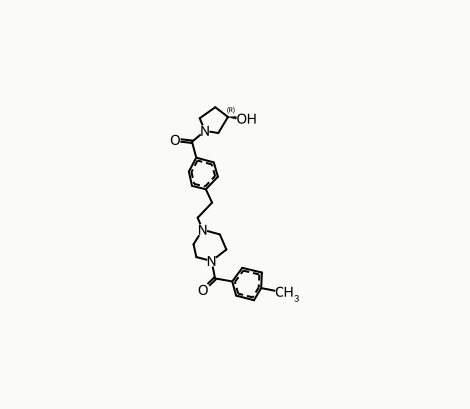 Cc1ccc(C(=O)N2CCN(CCc3ccc(C(=O)N4CC[C@@H](O)C4)cc3)CC2)cc1